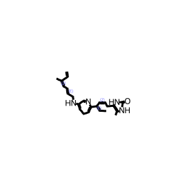 C=C/C(C)=C\C=C\CNC1=CCC=C(C(/C=C\Cc2[nH]c(=O)[nH]c2C)=C/C)N=C1